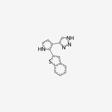 c1ccc2sc(-c3[nH]ccc3-c3c[nH]nn3)cc2c1